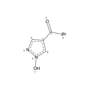 CC(C)C(=O)c1cnn(O)c1